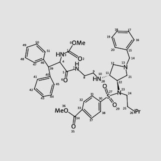 COC(=O)NC(C(=O)NCCN[C@@H]1CN(Cc2ccccc2)C[C@H]1N(CCC(C)C)S(=O)(=O)c1ccc(C(=O)OC)cc1)C(c1ccccc1)c1ccccc1